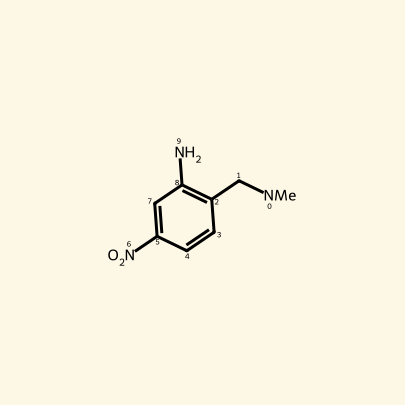 CNCc1ccc([N+](=O)[O-])cc1N